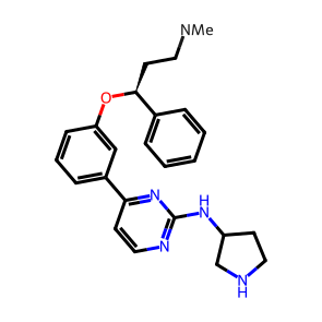 CNCC[C@H](Oc1cccc(-c2ccnc(NC3CCNC3)n2)c1)c1ccccc1